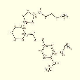 CCCCO[C@H]1CCN([C@H]2CCCC[C@@H]2CCCc2ccc(OC)c(OC)c2)C1